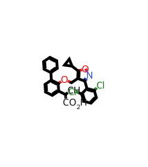 CC(C(=O)O)c1cccc(-c2ccccc2)c1OCc1c(-c2c(Cl)cccc2Cl)noc1C1CC1